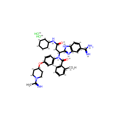 CC(=N)N1CCC(Oc2ccc(N(C(=O)c3ccccc3C(=O)O)C(CC(=O)NC3CCCCC3)c3nc4cc(C(=N)N)ccc4[nH]3)cc2)CC1.Cl.Cl